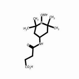 CON1C(C)(C)CC(NC(=O)CCC(=O)O)CC1(C)C